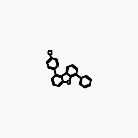 Clc1ccc(-c2cccc3oc4c(-c5ccccc5)cccc4c23)cc1